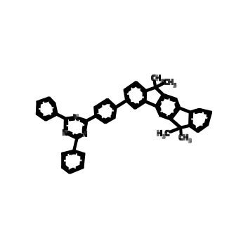 CC1(C)c2ccccc2-c2cc3c(cc21)-c1cc(-c2ccc(-c4nc(-c5ccccc5)nc(-c5ccccc5)n4)cc2)ccc1C3(C)C